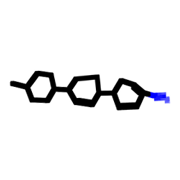 CC1CCC(C2C=CC(C3C=CC(N)=CC3)CC2)CC1